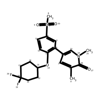 Cc1cc(-c2cc(S(C)(=O)=O)ccc2OC2CCC(F)(F)CC2)cn(C)c1=O